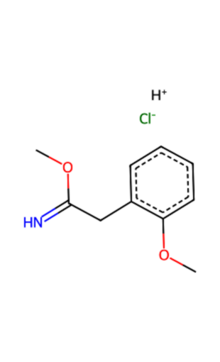 COC(=N)Cc1ccccc1OC.[Cl-].[H+]